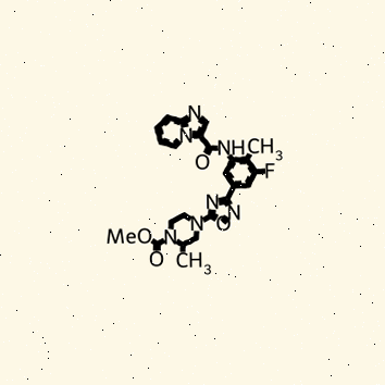 COC(=O)N1CCN(c2nc(-c3cc(F)c(C)c(NC(=O)c4cnc5ccccn45)c3)no2)CC1C